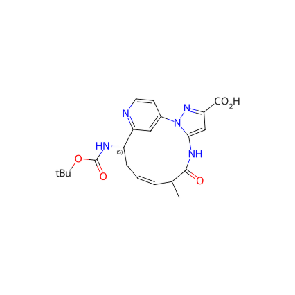 CC1C=CC[C@H](NC(=O)OC(C)(C)C)c2cc(ccn2)-n2nc(C(=O)O)cc2NC1=O